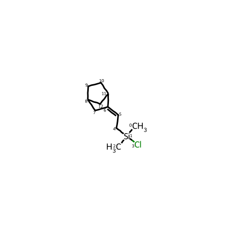 C[Si](C)(Cl)CC=C1CC2CCC1C2